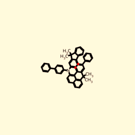 CC1(C)c2ccccc2-c2ccc(N(c3ccc(-c4ccccc4)cc3)c3ccc4cccc5c4c3-c3ccc(-c4ccccc4)cc3C5(C)C)cc21